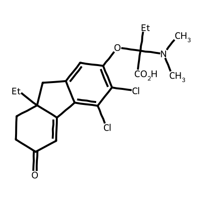 CCC12CCC(=O)C=C1c1c(cc(OC(CC)(C(=O)O)N(C)C)c(Cl)c1Cl)C2